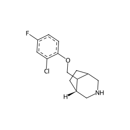 Fc1ccc(OCC2C3CC[C@H]2CNC3)c(Cl)c1